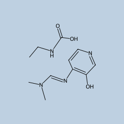 CCNC(=O)O.CN(C)C=Nc1ccncc1O